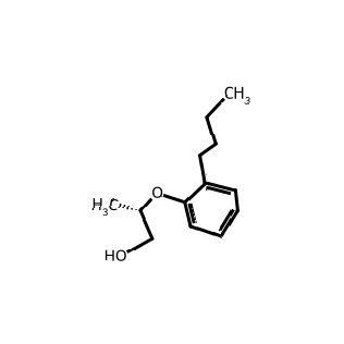 CCCCc1ccccc1O[C@@H](C)CO